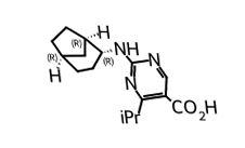 CC(C)c1nc(N[C@@H]2CC[C@H]3CC[C@@H]2C3)ncc1C(=O)O